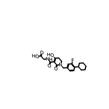 O=C(O)CNC(=O)C1=C(O)CCN(Cc2ccc(C3CCCCC3)c(F)c2)C1=O